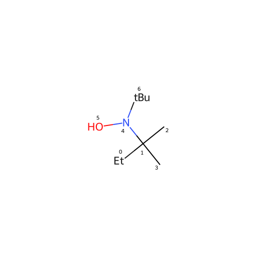 CCC(C)(C)N(O)C(C)(C)C